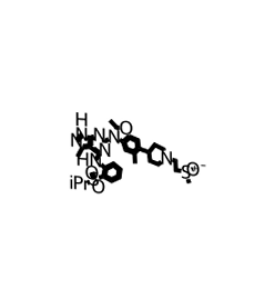 Cc1cc2c(cc1C1CCN(CC[S+](C)[O-])CC1)OC(C)N2c1nc(Nc2ccccc2S(=O)(=O)C(C)C)c2c(C)n[nH]c2n1